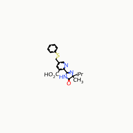 CC(C)C1(C)N=C(c2ncc(CSc3ccccc3)cc2C(=O)O)NC1=O